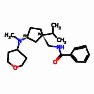 CC(C)[C@]1(CNC(=O)c2ccccc2)CC[C@@H](N(C)C2CCOCC2)C1